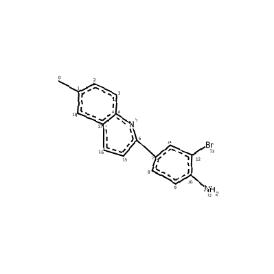 Cc1ccc2nc(-c3ccc(N)c(Br)c3)ccc2c1